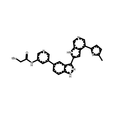 Cc1ccc(-c2cncc3[nH]c(-c4n[nH]c5ccc(-c6cncc(NC(=O)CC(C)(C)C)c6)cc45)cc23)s1